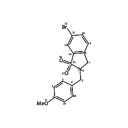 COc1ccc(CN2Cc3ccc(Br)cc3S2(=O)=O)cc1